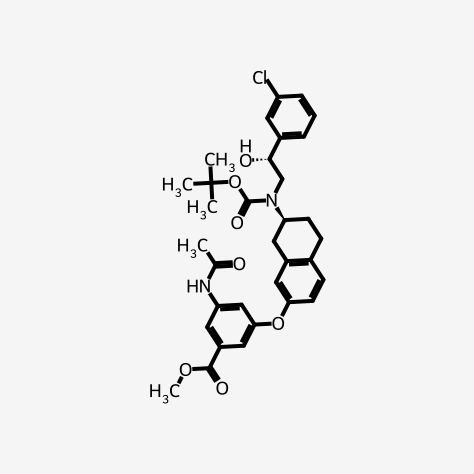 COC(=O)c1cc(NC(C)=O)cc(Oc2ccc3c(c2)C[C@@H](N(C[C@H](O)c2cccc(Cl)c2)C(=O)OC(C)(C)C)CC3)c1